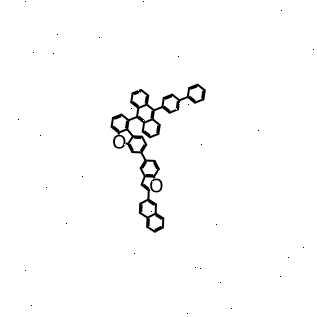 c1ccc(-c2ccc(-c3c4ccccc4c(-c4cccc5oc6cc(-c7ccc8oc(-c9ccc%10ccccc%10c9)cc8c7)ccc6c45)c4ccccc34)cc2)cc1